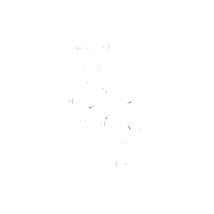 CCOC(=O)[C@@H]1[C@H]2CN(C(=O)OC(C)(C)C)[C@H](C(=O)O)[C@H]21